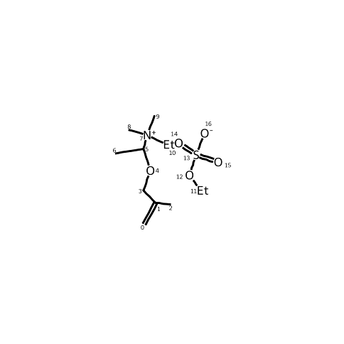 C=C(C)COC(C)[N+](C)(C)CC.CCOS(=O)(=O)[O-]